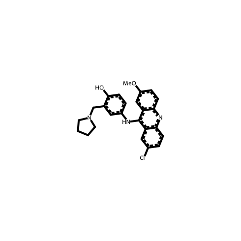 COc1ccc2nc3ccc(Cl)cc3c(Nc3ccc(O)c(CN4CCCC4)c3)c2c1